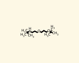 CC(C)(C)NCCCOCCCOC(C)(C)C